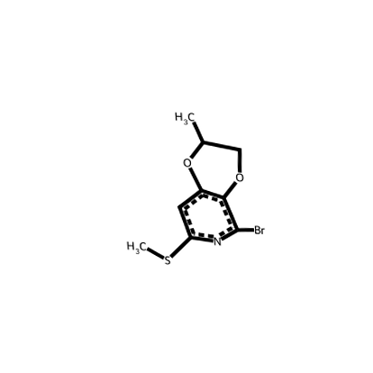 CSc1cc2c(c(Br)n1)OCC(C)O2